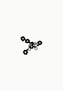 O=C(CC(C(=O)OCc1ccccc1)c1nc(-c2ccc(-c3ccccc3)cc2)c[nH]1)OCc1ccccc1